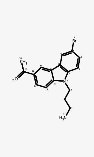 CCCCn1c2ccc(Br)cc2c2cc(C(C)=O)ccc21